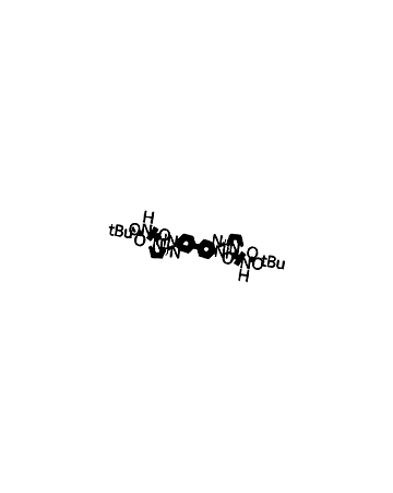 CC(C)(C)OC(=O)NC(C)(C)C(=O)N1CCC[C@H]1c1nc2cc(-c3ccc4[nH]c([C@@H]5CCCN5C(=O)C(C)(C)NC(=O)OC(C)(C)C)nc4c3)ccc2[nH]1